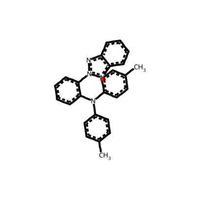 Cc1ccc(N(c2ccc(C)cc2)c2ccccc2-n2nc3ccccc3n2)cc1